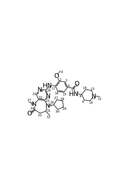 COc1cc(C(=O)NC2CCN(C)CC2)ccc1Nc1ncc2c(n1)N(C1CCCC1)C(C)CC(=O)N2C